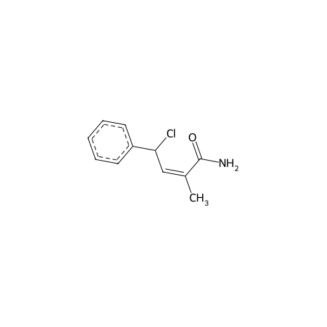 CC(=CC(Cl)c1ccccc1)C(N)=O